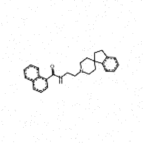 O=C(NCCN1CCC2(CCc3ccccc32)CC1)c1cccc2ccccc12